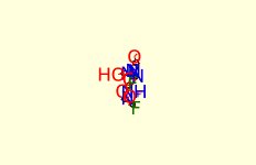 COc1ccc(Cn2nc(N3CCC(O)CC3)c3c(Oc4ccc(NC(=O)c5cccc(-c6ccc(F)cc6)[n+]5[O-])cc4F)ccnc32)cc1